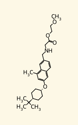 COCCOC(=O)CNCc1ccc2cc(O[C@H]3CC[C@H](C(C)(C)C)CC3)cc(C)c2c1